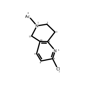 [CH2]C(=O)N1CCc2nc(Cl)ccc2C1